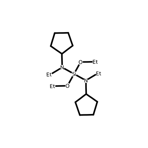 CCO[Si](OCC)(N(CC)C1CCCC1)N(CC)C1CCCC1